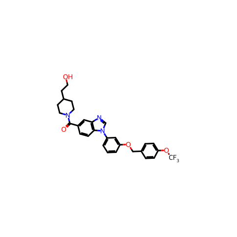 O=C(c1ccc2c(c1)ncn2-c1cccc(OCc2ccc(OC(F)(F)F)cc2)c1)N1CCC(CCO)CC1